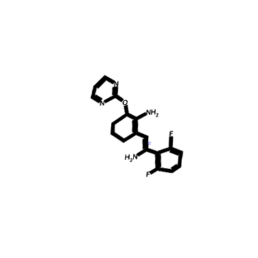 NC1=C(/C=C(\N)c2c(F)cccc2F)CCCC1Oc1ncccn1